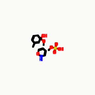 C1=CNOC=C1.COC1(O)C=C(C)C=CC1.COS(=O)(=O)O